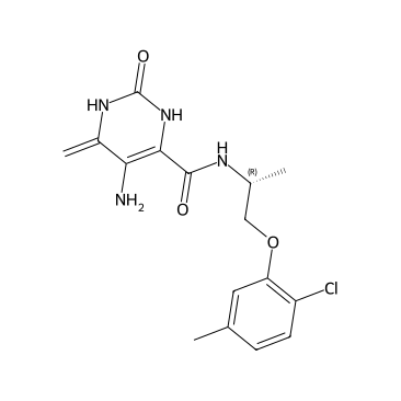 C=C1NC(=O)NC(C(=O)N[C@H](C)COc2cc(C)ccc2Cl)=C1N